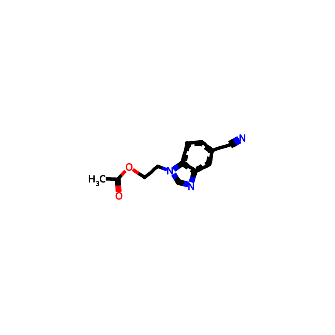 CC(=O)OCCn1cnc2cc(C#N)ccc21